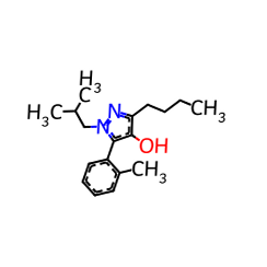 CCCCc1nn(CC(C)C)c(-c2ccccc2C)c1O